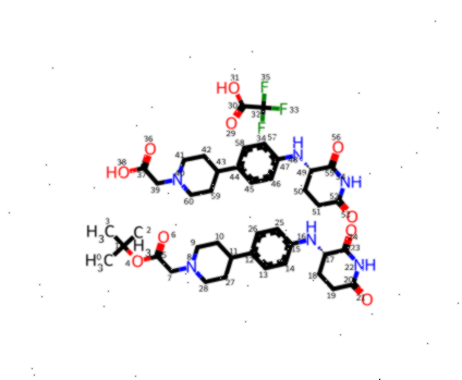 CC(C)(C)OC(=O)CN1CCC(c2ccc(N[C@H]3CCC(=O)NC3=O)cc2)CC1.O=C(O)C(F)(F)F.O=C(O)CN1CCC(c2ccc(N[C@H]3CCC(=O)NC3=O)cc2)CC1